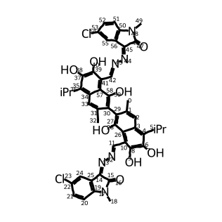 Cc1cc2c(C(C)C)c(O)c(O)c(/C=N/N=C3\C(=O)N(C)c4ccc(Cl)cc43)c2c(O)c1-c1c(C)cc2c(C(C)C)c(O)c(O)c(/C=N/N=C3/C(=O)N(C)c4ccc(Cl)cc43)c2c1O